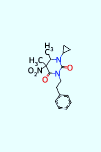 CC1N(C2CC2)C(=O)N(CCc2ccccc2)C(=O)C1(C)[N+](=O)[O-]